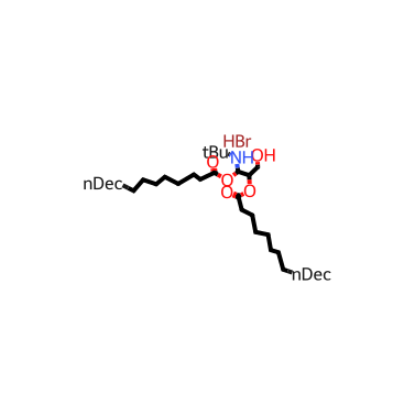 Br.CCCCCCCCCCCCCCCCCC(=O)OC(CO)C(NC(C)(C)C)OC(=O)CCCCCCCCCCCCCCCCC